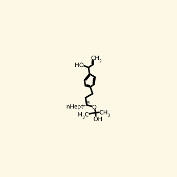 C=CC(O)c1ccc(CC[C@@H](CCCCCCC)OC(C)(C)O)cc1